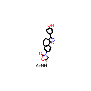 CC(=O)NC[C@H]1CN(c2ccc3c(c2)CCCc2c(-c4ccc(O)cc4)noc2-3)C(=O)O1